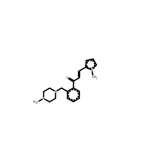 CN1CCN(Cc2ccccc2C(=O)C=Cc2cccn2C)CC1